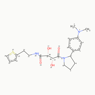 CN(C)c1ccc(C2CCCN2C(=O)[C@H](O)[C@@H](O)C(=O)NCCc2cccs2)cc1